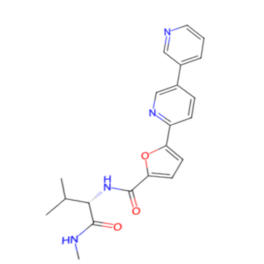 CNC(=O)[C@@H](NC(=O)c1ccc(-c2ccc(-c3cccnc3)cn2)o1)C(C)C